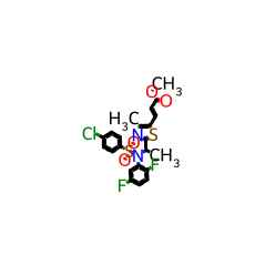 COC(=O)C=Cc1sc(C(C)N(c2cc(F)ccc2F)S(=O)(=O)c2ccc(Cl)cc2)nc1C